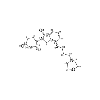 O=C1CCC(N2Cc3c(SCCCN4CCOCC4)cccc3C2=O)C(=O)N1